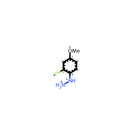 COc1ccc(NN)c(F)c1